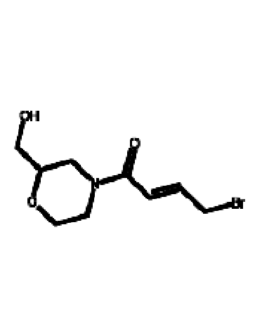 O=C(C=CCBr)N1CCOC(CO)C1